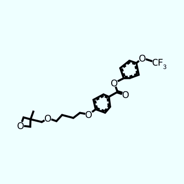 CC1(COCCCCOc2ccc(C(=O)Oc3ccc(OC(F)(F)F)cc3)cc2)COC1